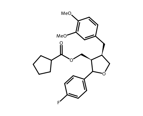 COc1ccc(C[C@H]2COC(c3ccc(F)cc3)[C@H]2COC(=O)C2CCCC2)cc1OC